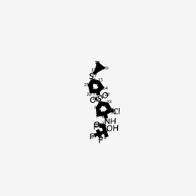 CC(O)(C(=O)Nc1ccc(S(=O)(=O)c2ccc(SC3CC3)cc2)cc1Cl)C(F)(F)F